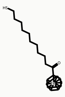 O=C(CCCCCCCCCCS)[C]12[CH]3[CH]4[CH]5[CH]1[Fe]45321678[CH]2[CH]1[CH]6[CH]7[CH]28